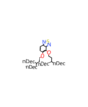 CCCCCCCCCCC(CCCCCCCCCC)CCOc1ccc2nsnc2c1OCCC(CCCCCCCCCC)CCCCCCCCCC